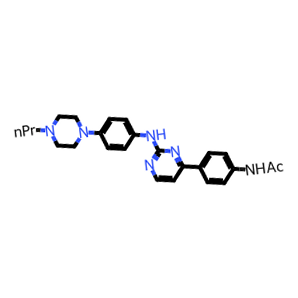 CCCN1CCN(c2ccc(Nc3nccc(-c4ccc(NC(C)=O)cc4)n3)cc2)CC1